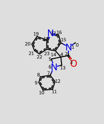 CN1C(=O)C2(CN(c3ccccc3)C2)c2c1cnc1ccccc21